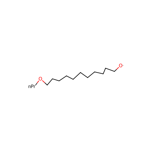 CCCOCCCCCCCCCCC[O]